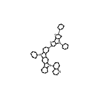 c1ccc(-c2cc3c(s2)c2sc(-c4ccc5c(c4)c4cc6c(cc4n5-c4ccccc4)c4ccccc4n6-c4cccc5ncccc45)cc2n3-c2ccccc2)cc1